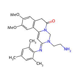 COc1cc2c(cc1OC)C1=CC(=Nc3c(C)cc(C)cc3C)N(CCN)CN1C(=O)C2